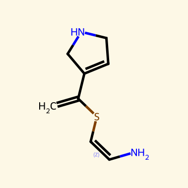 C=C(S/C=C\N)C1=CCNC1